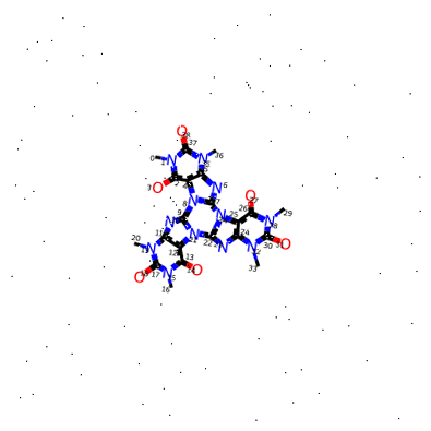 Cn1c(=O)c2c(nc3n2c2nc4c(c(=O)n(C)c(=O)n4C)n2c2nc4c(c(=O)n(C)c(=O)n4C)n32)n(C)c1=O